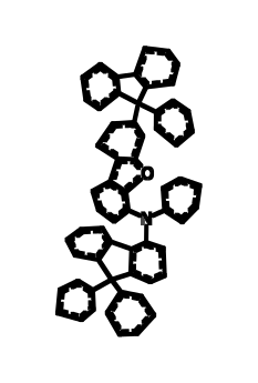 c1ccc(N(c2cccc3c2-c2ccccc2C3(c2ccccc2)c2ccccc2)c2cccc3c2oc2cc(C4(c5ccccc5)c5ccccc5-c5ccccc54)ccc23)cc1